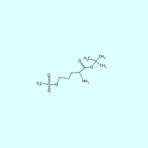 CC(C)(C)OC(=O)C(N)CCCOS(C)(=O)=O